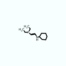 CCP(C=CNC1CCCCC1)CC